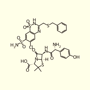 CC1(C)S[C@@H]2[C@H](NC(=O)[C@H](N)c3ccc(O)cc3)C(=O)N2[C@H]1C(=O)O.NS(=O)(=O)c1cc2c(cc1Cl)N=C(CSCc1ccccc1)NS2(=O)=O